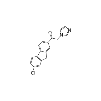 O=C(Cn1ccnc1)c1ccc2c(c1)Cc1cc(Cl)ccc1-2